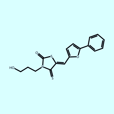 O=C1S/C(=C\c2ccc(-c3ccccc3)o2)C(=S)N1CCCO